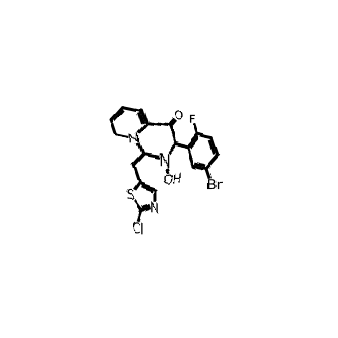 O=C1C2=CC=CCN2C(Cc2cnc(Cl)s2)N(O)C1c1cc(Br)ccc1F